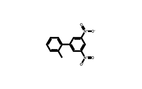 Cc1ccccc1-c1cc([N+](=O)[O-])cc([N+](=O)[O-])c1